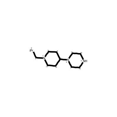 CC(C)CN1CCC(N2CCNCC2)CC1